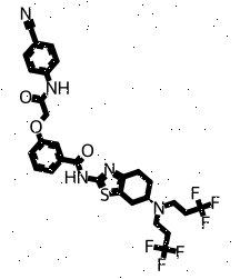 N#Cc1ccc(NC(=O)COc2cccc(C(=O)Nc3nc4c(s3)C[C@@H](N(CCC(F)(F)F)CCC(F)(F)F)CC4)c2)cc1